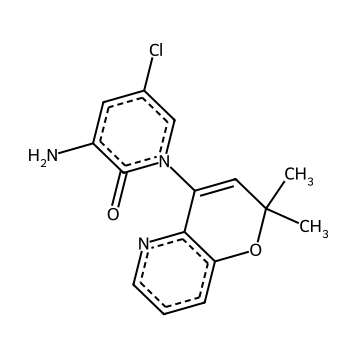 CC1(C)C=C(n2cc(Cl)cc(N)c2=O)c2ncccc2O1